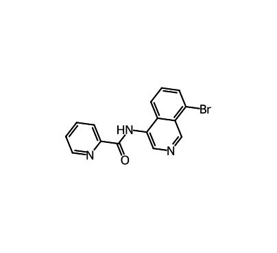 O=C(Nc1cncc2c(Br)cccc12)c1ccccn1